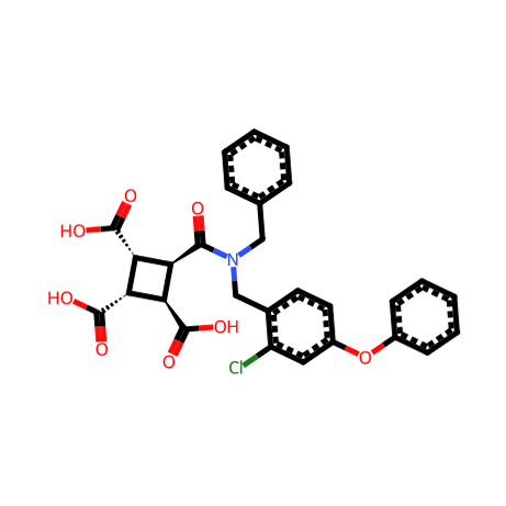 O=C(O)[C@H]1[C@H](C(=O)O)[C@H](C(=O)O)[C@H]1C(=O)N(Cc1ccccc1)Cc1ccc(Oc2ccccc2)cc1Cl